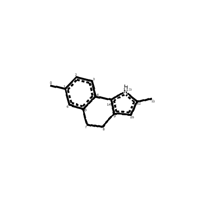 Cc1ccc2c(c1)CCc1cc(C)[nH]c1-2